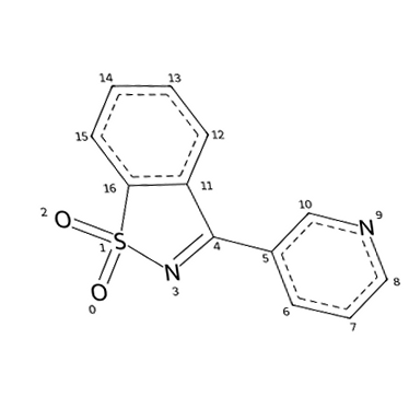 O=S1(=O)N=C(c2cccnc2)c2ccccc21